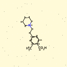 Cc1cc(CCN2CCCCC2)ccc1C(=O)O